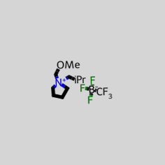 COC[N+]1(CC(C)C)CCCC1.F[B-](F)(F)C(F)(F)F